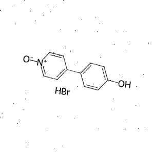 Br.[O-][n+]1ccc(-c2ccc(O)cc2)cc1